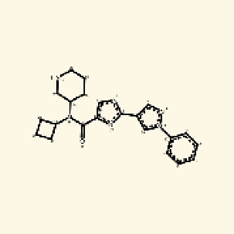 O=C(c1csc(-c2cnn(-c3ccccc3)c2)n1)N(C1CCC1)C1CCCNC1